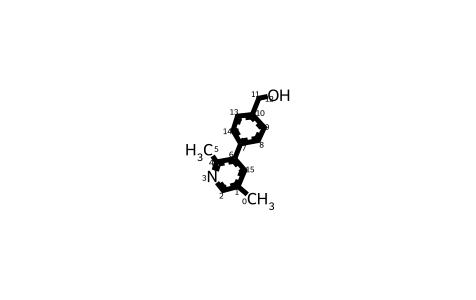 Cc1cnc(C)c(-c2ccc(CO)cc2)c1